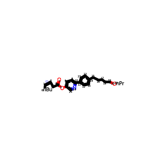 CCCC/C=C\CC(=O)Oc1ccc(-c2ccc(CCCCCOCCC)cc2)nc1